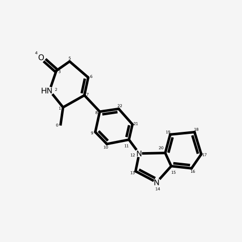 CC1NC(=O)CC=C1c1ccc(-n2cnc3ccccc32)cc1